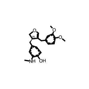 CNc1cc(C[C@H]2COC=C2Cc2ccc(OC)c(OC)c2)ccc1O